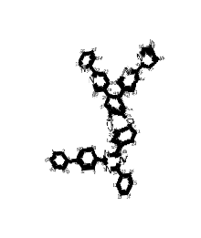 c1ccc(-c2ccc(-c3nc(-c4ccccc4)nc(-c4ccc5c(c4)Oc4cc(-c6ccc(-c7ccccn7)nc6)c(-c6ccc(-c7ccccn7)nc6)cc4O5)n3)cc2)cc1